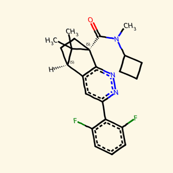 CN(C(=O)[C@]12CC[C@H](c3cc(-c4c(F)cccc4F)nnc31)C2(C)C)C1CCC1